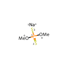 COP(=S)([S-])OC.[Na+]